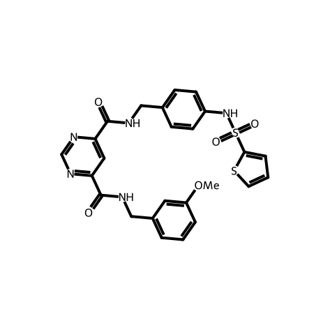 COc1cccc(CNC(=O)c2cc(C(=O)NCc3ccc(NS(=O)(=O)c4cccs4)cc3)ncn2)c1